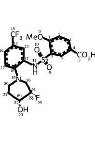 COc1ccc(C(=O)O)cc1S(=O)(=O)Nc1cc(C(F)(F)F)ccc1N1CC[C@@H](O)[C@@H](F)C1